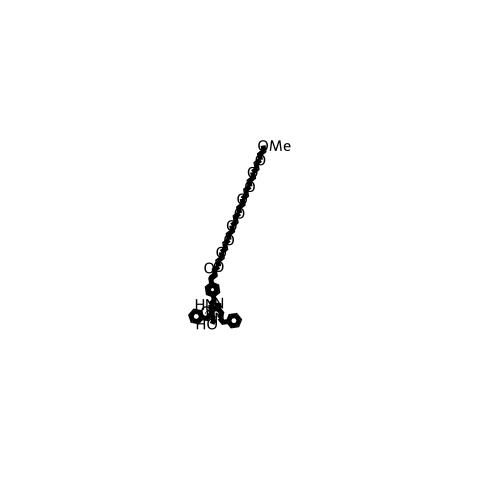 COCCOCCOCCOCCOCCOCCOCCOCCOCCOC(=O)/C=C/c1ccc(-c2nc3c([nH]2)[N+]([O-])(CC2CCCCC2)C(O)N(CC2CCCCC2)C3)cc1